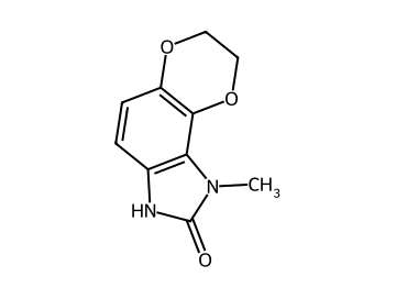 Cn1c(=O)[nH]c2ccc3c(c21)OCCO3